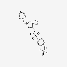 O=S(=O)(NCC1CN(Cc2ccccc2)CC12CCC2)c1ccc(OC(F)(F)F)cc1